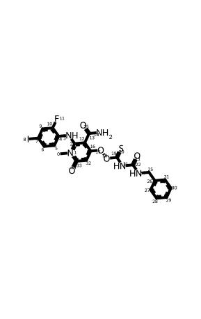 Cn1c(Nc2ccc(I)cc2F)c(C(N)=O)c(OOC(=S)NC(=O)NCc2ccccc2)cc1=O